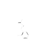 [CH2]C(=O)NCc1ccc(Cl)cc1Cl